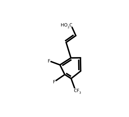 O=C(O)/C=C/c1ccc(C(F)(F)F)c(F)c1F